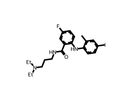 CCN(CC)CCCNC(=O)c1cc(F)ccc1Nc1ccc(I)cc1C